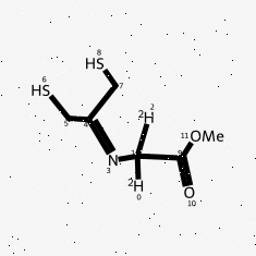 [2H]C([2H])(N=C(CS)CS)C(=O)OC